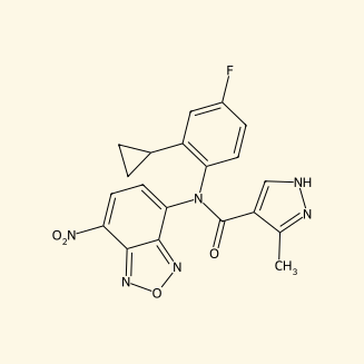 Cc1n[nH]cc1C(=O)N(c1ccc(F)cc1C1CC1)c1ccc([N+](=O)[O-])c2nonc12